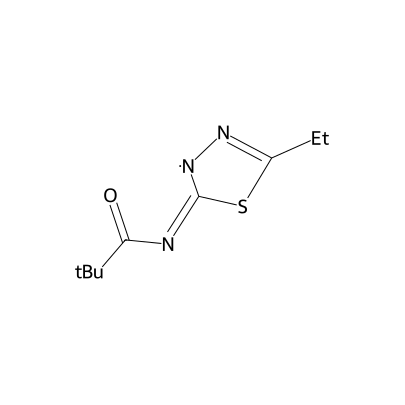 CCC1=N[N]C(=NC(=O)C(C)(C)C)S1